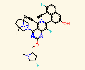 C#Cc1c(F)ccc2cc(O)cc(-c3nc(C#CC)c4c(N5C[C@H]6CC[C@@H](C5)N6)nc(OC[C@@H]5C[C@H](F)CN5C)nc4c3F)c12